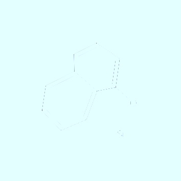 [O]c1cccc2ccccc12.[Si]